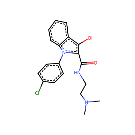 CN(C)CCNC(=O)c1c(O)c2ccccc2n1-c1ccc(Cl)cc1